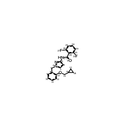 O=C(Nc1ccn(Cc2ccccc2OCC2CC2)n1)c1c(F)cccc1F